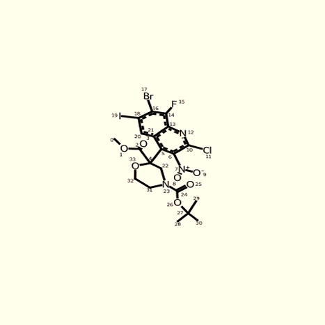 COC(=O)C1(c2c([N+](=O)[O-])c(Cl)nc3c(F)c(Br)c(I)cc23)CN(C(=O)OC(C)(C)C)CCO1